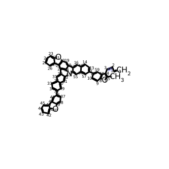 C=C/C=C\c1c(C)oc2ccc(-c3ccc4cc5c6cc7oc8ccccc8c7c7c8cc9ccc(-c%10ccc%11oc%12ccccc%12c%11c%10)cc9cc8n(c5cc4c3)c67)cc12